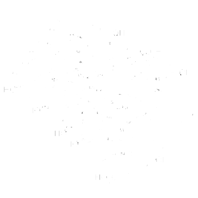 O=C(O)c1cc2cc(O)c3c4ccc5c6cccc7c(O)c8cc9c(C(=O)O)c%10c%11c%12c%13c%14c%15c(c(O)c%16cc%17ccc%18ccc%19c%20ccc%21c%22ccc(O)c%23cc%24c(O)c%25c%26c%27c%24c(c%23%22)c%22c%21c%20c%20c%21c%19c%18c%17c%17c%16c%15c%15c%16c%14c%14c%12c%12c%18c%11c9c9c8c(c76)c6c5c4c4c5c3c2c2c1cc1cc3c(O)c7c(O)c(c8c%11c7c7c3c3c1c2c5c1c3c2c7c3c%11c5c(c7c%27c%22c%20c(c7c%16c5c%14c3c%12c2c2c%18c9c6c4c12)c%15c%17%21)C%268)C%25)=CC%13%10